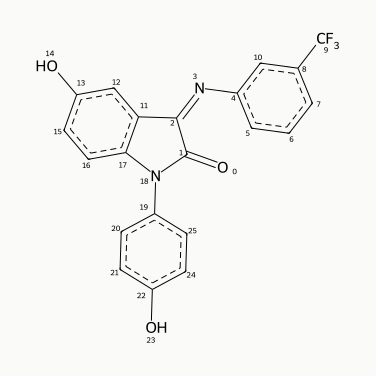 O=C1/C(=N\c2cccc(C(F)(F)F)c2)c2cc(O)ccc2N1c1ccc(O)cc1